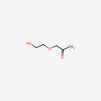 CC(=O)COCCO